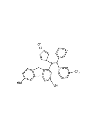 CC(C)(C)c1ccc2c(c1)-c1cc(C(C)(C)C)c[c]([Zr+2](=[C](c3ccccc3)c3cccc(C(F)(F)F)c3)[CH]3C=CC=C3)c1C2.[Cl-].[Cl-]